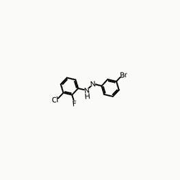 Fc1c(Cl)cccc1N[N]c1cccc(Br)c1